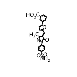 CC1=NN(c2ccc(S(N)(=O)=O)cc2)C(=O)/C1=C/c1ccc(-c2cccc(C(=O)O)c2)o1